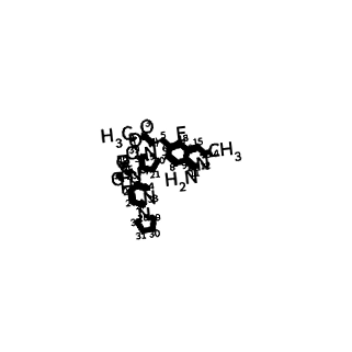 COC(=O)[C@@H](Cc1ccc2c(N)nc(C)cc2c1F)N1CC[C@H](N(c2ccc(N3CCCC3)nc2)[SH](=O)=O)C1=O